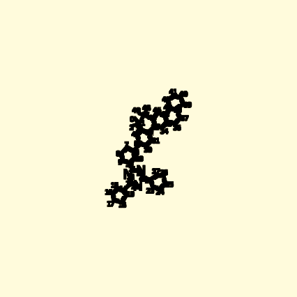 CC1(C)c2cc(-c3cccc(-c4nc(-c5ccccc5)nc(-c5ccccc5)n4)c3)ccc2-c2cc3ccc4ccccc4c3cc2C1(C)C